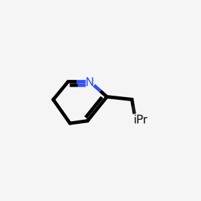 CC(C)CC1=CCCC=N1